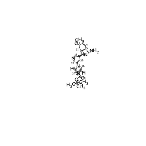 COc1ccc2c(N)nn(-c3cncc(N4C[C@@H]5C[C@H]4CN5C(=O)OC(C)(C)C)c3)c2c1